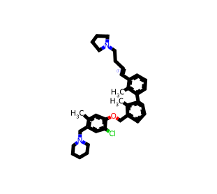 Cc1cc(OCc2cccc(-c3cccc(/C=C/CCN4CCCC4)c3C)c2C)c(Cl)cc1CN1CCCCC1